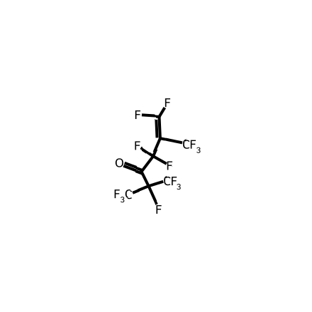 O=C(C(F)(F)C(=C(F)F)C(F)(F)F)C(F)(C(F)(F)F)C(F)(F)F